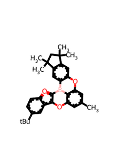 Cc1cc2c3c(c1)Oc1c(oc4ccc(C(C)(C)C)cc14)B3c1cc3c(cc1O2)C(C)(C)CC3(C)C